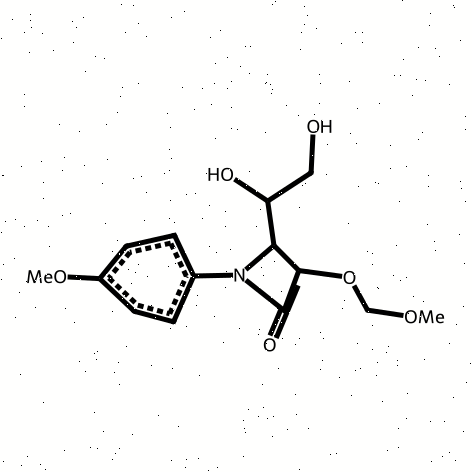 COCOC1C(=O)N(c2ccc(OC)cc2)C1C(O)CO